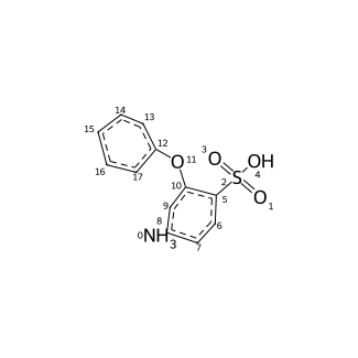 N.O=S(=O)(O)c1ccccc1Oc1ccccc1